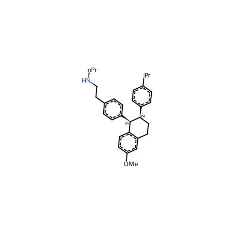 CCCNCCc1ccc([C@@H]2c3ccc(OC)cc3CC[C@@H]2c2ccc(C(C)C)cc2)cc1